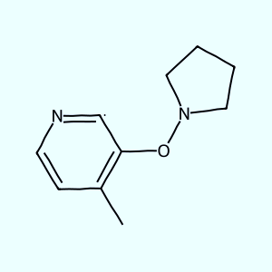 Cc1ccn[c]c1ON1CCCC1